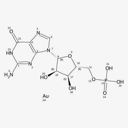 Nc1nc2c(ncn2[C@@H]2O[C@H](COP(=O)(O)O)[C@@H](O)[C@H]2O)c(=O)[nH]1.[Au]